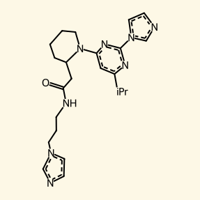 CC(C)c1cc(N2CCCCC2CC(=O)NCCCn2ccnc2)nc(-n2ccnc2)n1